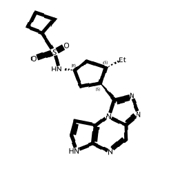 CC[C@H]1C[C@@H](NS(=O)(=O)C2CCC2)C[C@@H]1c1nnc2cnc3[nH]ccc3n12